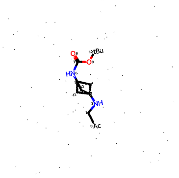 CC(=O)CNC12CC(NC(=O)OC(C)(C)C)(C1)C2